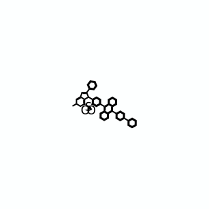 CC1C=C2C=C(c3ccccc3)C3C2=C(C1)S(=O)(=O)c1cc(-c2c4ccccc4c(-c4ccc(-c5ccccc5)cc4)c4ccccc24)ccc13